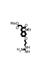 CCn1c(=O)c(CC(=O)OC)cc2ccc(OCCCNC(=N)N)cc21